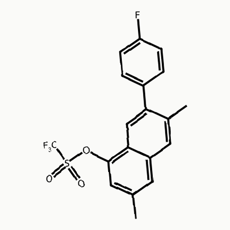 Cc1cc(OS(=O)(=O)C(F)(F)F)c2cc(-c3ccc(F)cc3)c(C)cc2c1